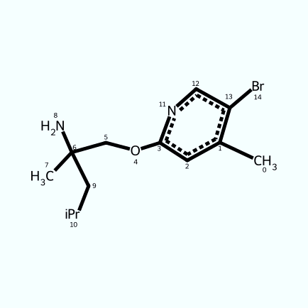 Cc1cc(OCC(C)(N)CC(C)C)ncc1Br